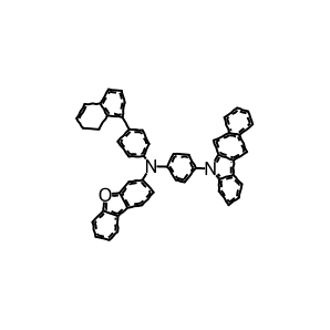 C1=Cc2cccc(-c3ccc(N(c4ccc(-n5c6ccccc6c6cc7ccccc7cc65)cc4)c4ccc5c(c4)oc4ccccc45)cc3)c2CC1